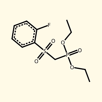 CCOP(=O)(CS(=O)(=O)c1ccccc1F)OCC